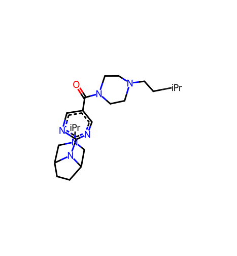 CC(C)CCN1CCN(C(=O)c2cnc(N3C4CCC3CN(C(C)C)C4)nc2)CC1